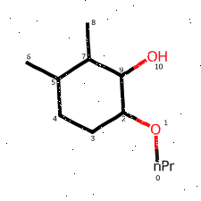 CCCOC1CCC(C)C(C)C1O